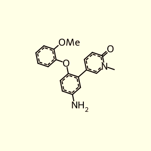 COc1ccccc1Oc1ccc(N)cc1-c1ccc(=O)n(C)c1